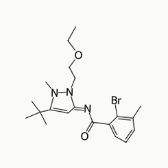 CCOCCn1/c(=N/C(=O)c2cccc(C)c2Br)cc(C(C)(C)C)n1C